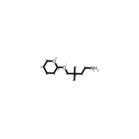 CC(C)(CCN)COC1CCCCO1